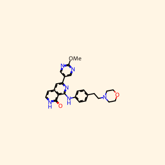 COc1ncc(-c2cc3cc[nH]c(=O)c3c(Nc3ccc(CCN4CCOCC4)cc3)n2)cn1